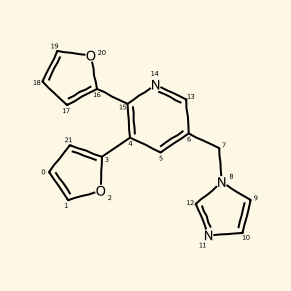 c1coc(-c2cc(Cn3ccnc3)cnc2-c2ccco2)c1